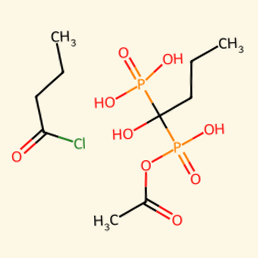 CCCC(=O)Cl.CCCC(O)(P(=O)(O)O)P(=O)(O)OC(C)=O